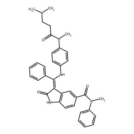 CN(C)CCC(=O)N(C)c1ccc(NC(=C2C(=O)Nc3ccc(C(=O)N(C)c4ccccc4)cc32)c2ccccc2)cc1